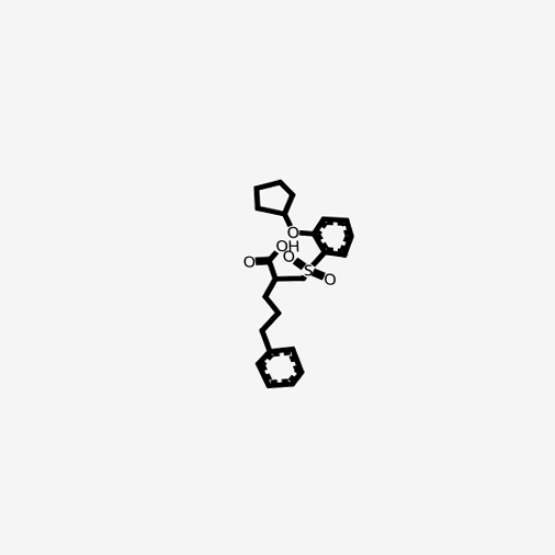 O=C(O)C(CCCc1ccccc1)CS(=O)(=O)c1ccccc1OC1CCCC1